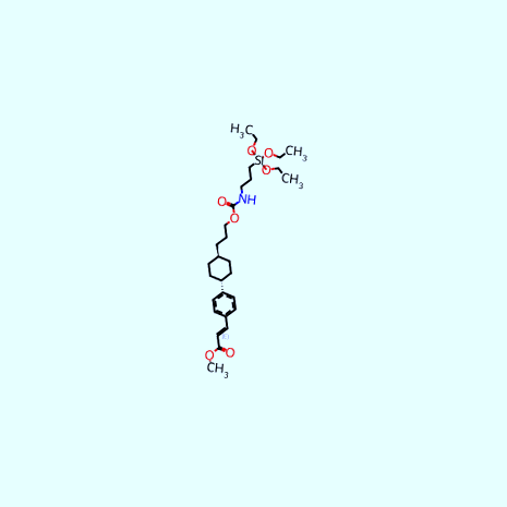 CCO[Si](CCCNC(=O)OCCC[C@H]1CC[C@H](c2ccc(/C=C/C(=O)OC)cc2)CC1)(OCC)OCC